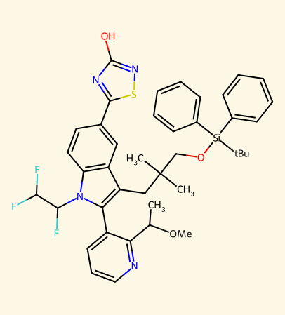 COC(C)c1ncccc1-c1c(CC(C)(C)CO[Si](c2ccccc2)(c2ccccc2)C(C)(C)C)c2cc(-c3nc(O)ns3)ccc2n1C(F)C(F)F